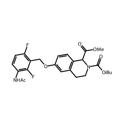 COC(=O)C1c2ccc(OCc3c(F)ccc(NC(C)=O)c3F)cc2CCN1C(=O)OCC(C)C